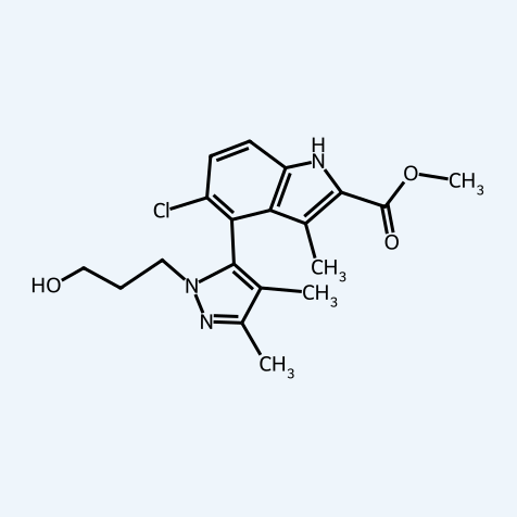 COC(=O)c1[nH]c2ccc(Cl)c(-c3c(C)c(C)nn3CCCO)c2c1C